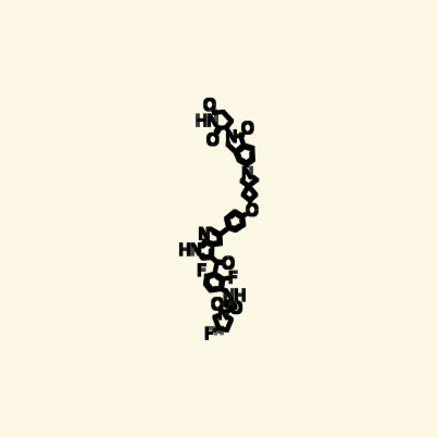 O=C1CCC(N2Cc3cc(N4CC5(CC(Oc6ccc(-c7cnc8[nH]cc(C(=O)c9c(F)ccc(NS(=O)(=O)N%10CC[C@@H](F)C%10)c9F)c8c7)cc6)C5)C4)ccc3C2=O)C(=O)N1